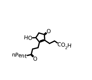 CCCCCC(=O)CCC1=C(CCC(=O)O)C(=O)CC1O